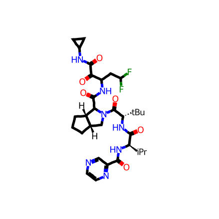 CC(C)[C@@H](NC(=O)c1cnccn1)C(=O)N[C@H](C(=O)N1C[C@@H]2CCC[C@@H]2C1C(=O)NC(CC(F)F)C(=O)C(=O)NC1CC1)C(C)(C)C